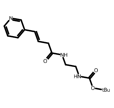 CC(C)(C)OC(=O)NCCNC(=O)C/C=C/c1cccnc1